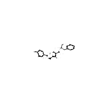 CC(C)c1c(C(=O)NC(CO)Cc2ccccc2)cn2nc(-c3ccc(Cl)c(F)c3)[nH]c(=O)c12